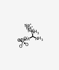 CCCCCC(N)N.O=P([O-])([O-])[O-].[Na+].[Na+].[Na+]